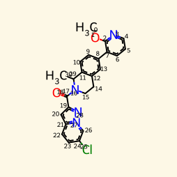 COc1ncccc1-c1ccc2c(c1)CCN(C(=O)c1cc3ccc(Cl)cn3n1)C2C